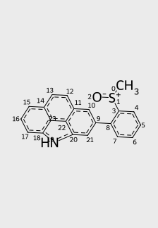 C[S+]([O-])c1ccccc1-c1cc2ccc3cccc4[nH]c(c1)c2c34